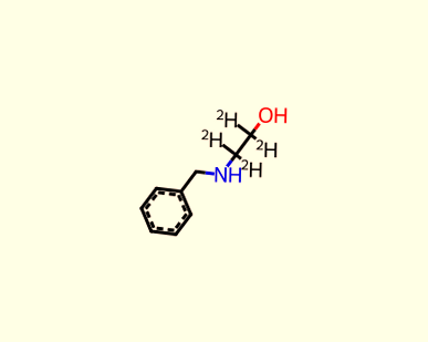 [2H]C([2H])(O)C([2H])([2H])NCc1ccccc1